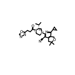 CC(C)[C@@H]1CN(c2nc(C3CC3)c3c(c2C#N)CC(C)(C)OC3)CCN1C(=O)CCc1nnco1